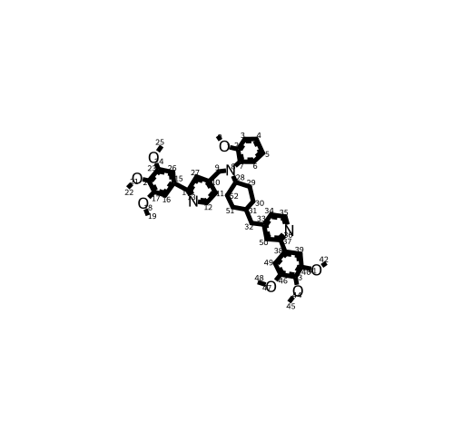 COc1ccccc1N(Cc1ccnc(-c2cc(OC)c(OC)c(OC)c2)c1)C1CCC(Cc2ccnc(-c3cc(OC)c(OC)c(OC)c3)c2)CC1